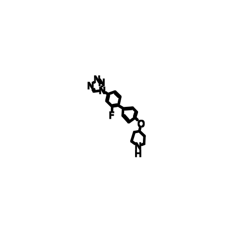 Fc1cc(-n2cnnn2)ccc1-c1ccc(OC2CCNCC2)cc1